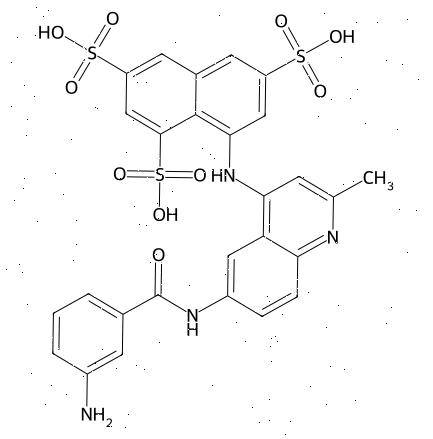 Cc1cc(Nc2cc(S(=O)(=O)O)cc3cc(S(=O)(=O)O)cc(S(=O)(=O)O)c23)c2cc(NC(=O)c3cccc(N)c3)ccc2n1